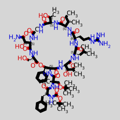 CC[C@H](C)[C@@H]1NC(=O)[C@@H](CCCNC(=N)N)NC(=O)[C@H](CC(C)C)NC(=O)[C@H]([C@H](O)C(C)C)NC(=O)[C@@H](NC(=O)[C@](C)(COC(C)(C)C)NC(=O)[C@@H](Cc2ccccc2)NC(=O)OC(C)(C)C)[C@@H](c2ccccc2)OC(=O)[C@H](CO)NC(=O)[C@H]([C@H](O)C(N)=O)NC(=O)CNC(=O)[C@H]([C@H](C)O)NC1=O